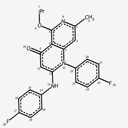 Cc1cc2c(c(OC(C)C)n1)c(=O)cc(Nc1ccc(F)cc1)n2-c1ccc(F)cc1